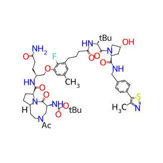 CC(=O)N1CC[C@H]2CC[C@@H](C(=O)N[C@@H](CCC(N)=O)COc3cc(C)cc(CCCC(=O)N[C@H](C(=O)N4C[C@H](O)C[C@H]4C(=O)NCc4ccc(-c5scnc5C)cc4)C(C)(C)C)c3F)N2C(=O)[C@@H](NC(=O)OC(C)(C)C)C1